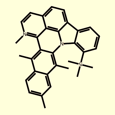 Cc1ccc2c(C)c3c(c(C)c2c1)n1c2c([Si](C)(C)C)cccc2c2ccc4cc[n+](C)c3c4c21